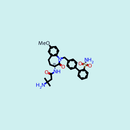 COc1ccc2c(c1)CC[C@@H](NC(=O)CC(C)(C)N)C(=O)N2Cc1ccc(-c2ccccc2S(N)(=O)=O)cc1